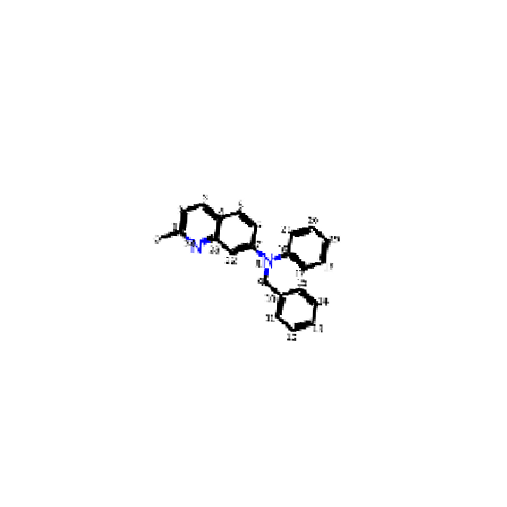 Cc1ccc2ccc(N(Cc3ccccc3)c3ccccc3)cc2n1